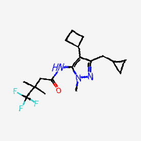 Cn1nc(CC2CC2)c(C2CCC2)c1NC(=O)CC(C)(C)C(F)(F)F